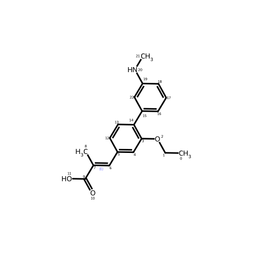 CCOc1cc(/C=C(\C)C(=O)O)ccc1-c1cccc(NC)c1